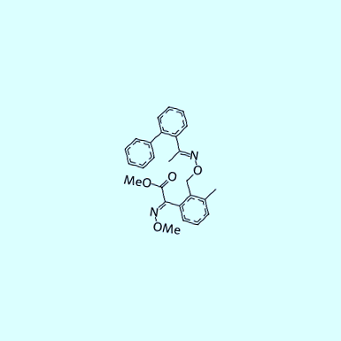 CO/N=C(/C(=O)OC)c1cccc(C)c1CO/N=C(\C)c1ccccc1-c1ccccc1